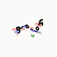 CN(CCNC(=O)COc1ccc(CNC[C@H](O)c2ccc(O)c3[nH]c(=O)ccc23)cc1)[C@H]1CC[C@H](OC(=O)C(O)(c2cccs2)c2cccs2)CC1.F.F